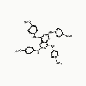 COc1ccc(Nc2nc(Nc3ccc(OC)cc3)c3nc(Nc4ccc(OC)cc4)nc(Nc4ccc(OC)cc4)c3n2)cc1